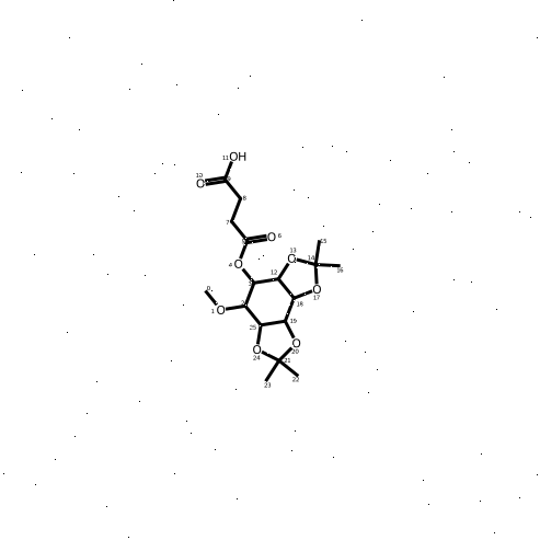 COC1C(OC(=O)CCC(=O)O)C2OC(C)(C)OC2C2OC(C)(C)OC12